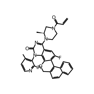 C=CC(=O)N1CCN(c2nc(=O)n(-c3c(C)ccnc3C(C)C)c3c4c(c(F)cc23)-c2c(ccc3ccccc23)CO4)[C@@H](C)C1